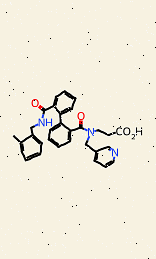 Cc1ccccc1CNC(=O)c1ccccc1-c1ccccc1C(=O)N(CCC(=O)O)Cc1cccnc1